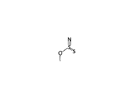 COS(#N)=S